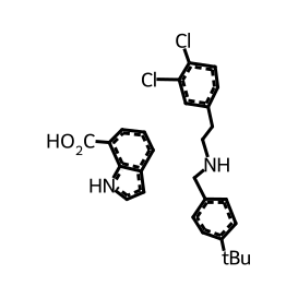 CC(C)(C)c1ccc(CNCCc2ccc(Cl)c(Cl)c2)cc1.O=C(O)c1cccc2cc[nH]c12